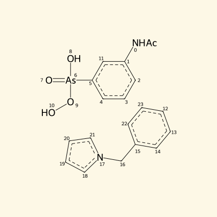 CC(=O)Nc1cccc([As](=O)(O)OO)c1.c1ccc(Cn2cccc2)cc1